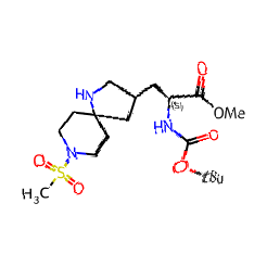 COC(=O)[C@H](CC1CNC2(CCN(S(C)(=O)=O)CC2)C1)NC(=O)OC(C)(C)C